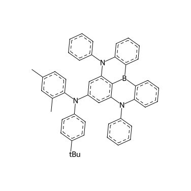 Cc1ccc(N(c2ccc(C(C)(C)C)cc2)c2cc3c4c(c2)N(c2ccccc2)c2ccccc2B4c2ccccc2N3c2ccccc2)c(C)c1